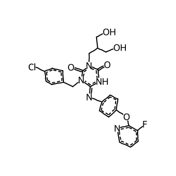 O=c1[nH]/c(=N\c2ccc(Oc3ncccc3F)cc2)n(Cc2ccc(Cl)cc2)c(=O)n1CC(CO)CO